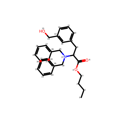 CCCCOC(=O)C(Cc1cccc(CO)c1)N(Cc1ccccc1)Cc1ccccc1